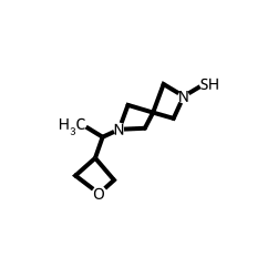 CC(C1COC1)N1CC2(CN(S)C2)C1